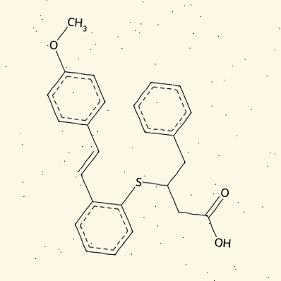 COc1ccc(C=Cc2ccccc2SC(CC(=O)O)Cc2ccccc2)cc1